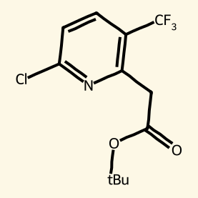 CC(C)(C)OC(=O)Cc1nc(Cl)ccc1C(F)(F)F